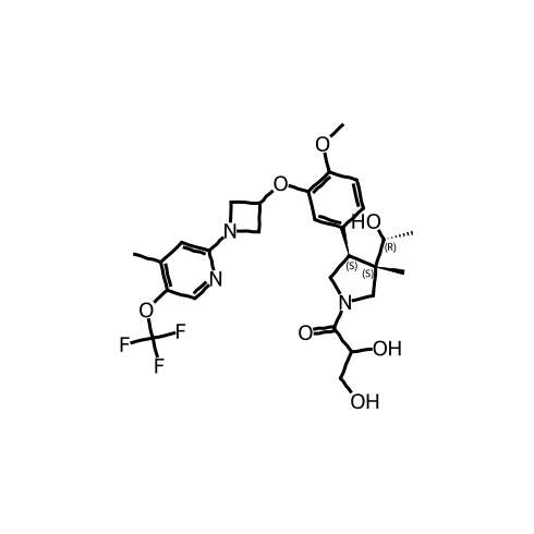 COc1ccc([C@@H]2CN(C(=O)C(O)CO)C[C@@]2(C)[C@@H](C)O)cc1OC1CN(c2cc(C)c(OC(F)(F)F)cn2)C1